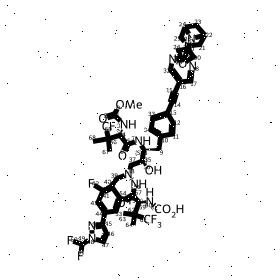 COC(=O)N[C@H](C(=O)N[C@@H](Cc1ccc(C#Cc2cnc(N3CC4CC(C3)N4C3COC3)nc2)cc1)[C@@H](O)CN(Cc1c(F)cc(-c2ccn(C(F)F)n2)cc1F)NC(=O)[C@@H](NC(=O)O)C(C)(C)C(F)(F)F)C(C)(C)C(F)(F)F